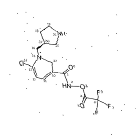 O=C(NOC(=O)C(F)(F)F)C1=CC=C(Cl)N(C[C@H]2CCNC2)C1